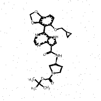 CC(C)(C)OC(=O)N1CC[C@H](NC(=O)c2c[nH]c3c(-c4c(OCC5CC5)ccc5c4OCO5)ncnc23)C1